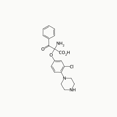 NC(Oc1ccc(N2CCNCC2)c(Cl)c1)(C(=O)O)C(=O)c1ccccc1